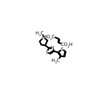 Cc1ccsc1-c1csc(C2CCN(C)C2)n1.O=C(O)C=CC(=O)O